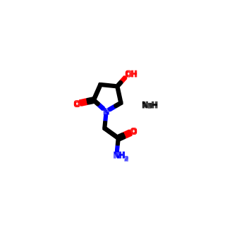 NC(=O)CN1CC(O)CC1=O.[NaH]